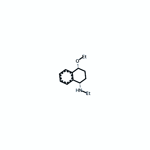 CCN[C@H]1CC[C@@H](OCC)c2ccccc21